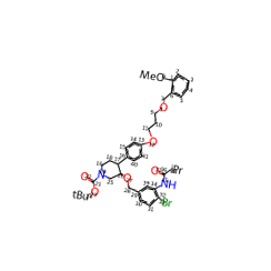 COc1ccccc1COCCCOc1ccc(C2CCN(C(=O)OC(C)(C)C)CC2OCc2ccc(Br)c(NC(=O)C(C)C)c2)cc1